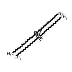 CCCCCCCCCCCCCCCCCCCCN(CCCCCCCCCCCCCCCCCCCC)C(=S)[S-].CCCCCCCCCCCCCCCCCCCCN(CCCCCCCCCCCCCCCCCCCC)C(=S)[S-].[Pb+2]